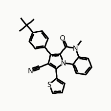 Cn1c(=O)c2c(-c3ccc(C(C)(C)C)cc3)c(C#N)c(-c3cccs3)n2c2ccccc21